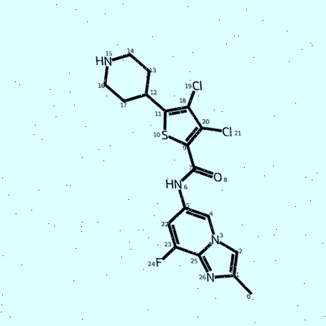 Cc1cn2cc(NC(=O)c3sc(C4CCNCC4)c(Cl)c3Cl)cc(F)c2n1